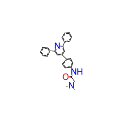 CN(C)CC(=O)Nc1ccc(-c2cc(-c3ccccc3)nc(-c3ccccc3)c2)cc1